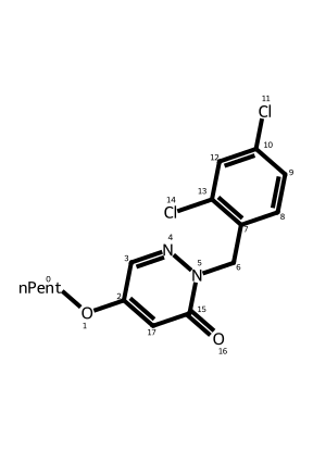 CCCCCOc1cnn(Cc2ccc(Cl)cc2Cl)c(=O)c1